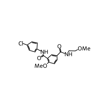 COCCNC(=O)c1ccc(OC)c(C(=O)Nc2ccc(Cl)cc2)c1